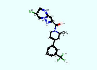 CC1CC(c2cccc(C(F)(F)F)c2)=CCN1C(=O)c1cc2ncc(Br)cn2n1